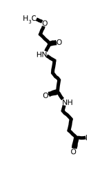 COCC(=O)NCCCC(=O)NCCCC(=O)I